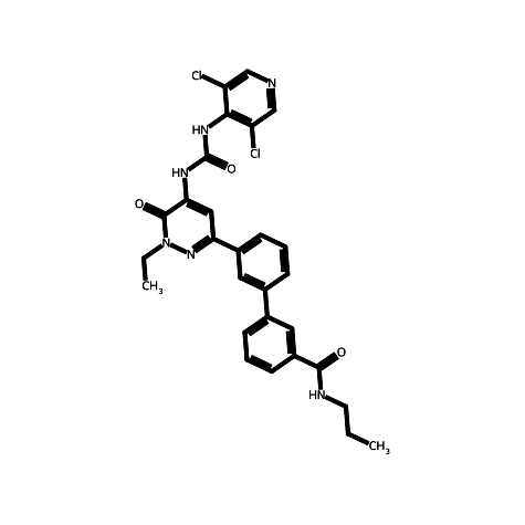 CCCNC(=O)c1cccc(-c2cccc(-c3cc(NC(=O)Nc4c(Cl)cncc4Cl)c(=O)n(CC)n3)c2)c1